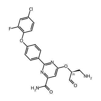 NC[C@@H](C=O)Oc1cc(C(N)=O)nc(-c2ccc(Oc3ccc(Cl)cc3F)cc2)n1